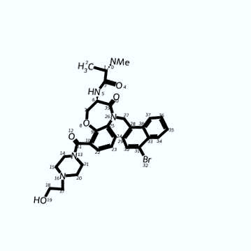 CN[C@@H](C)C(=O)N[C@H]1COc2c(C(=O)N3CCN(CCO)CC3)cccc2N(Cc2ccc(Br)c3ccccc23)C1=O